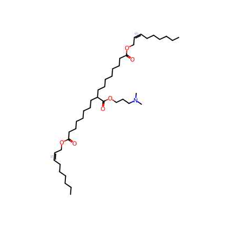 CCCCCC/C=C\COC(=O)CCCCCCCC(CCCCCCCC(=O)OC/C=C\CCCCCC)C(=O)OCCCN(C)C